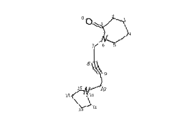 O=C1CCCCN1CC#CCN1CCCC1